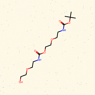 CC(C)(C)OC(=O)NCCOCCOC(=O)NCCOCCO